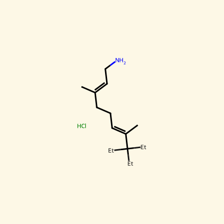 CCC(CC)(CC)C(C)=CCCC(C)=CCN.Cl